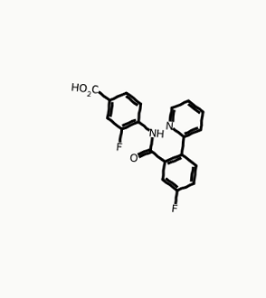 O=C(O)c1ccc(NC(=O)c2cc(F)ccc2-c2ccccn2)c(F)c1